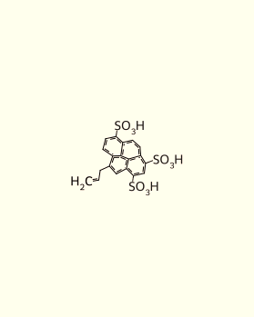 C=CCc1cc2c(S(=O)(=O)O)cc(S(=O)(=O)O)c3ccc4c(S(=O)(=O)O)ccc1c4c32